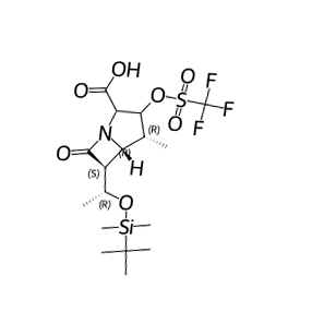 C[C@@H](O[Si](C)(C)C(C)(C)C)[C@H]1C(=O)N2C(C(=O)O)C(OS(=O)(=O)C(F)(F)F)[C@H](C)[C@H]12